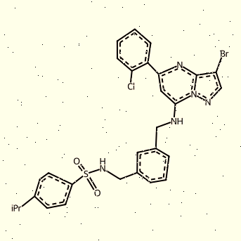 CC(C)c1ccc(S(=O)(=O)NCc2cccc(CNc3cc(-c4ccccc4Cl)nc4c(Br)cnn34)c2)cc1